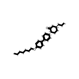 CCCCCCCOc1ccc(-c2ccc([C@H]3CC[C@H](CCC)CC3=O)cc2)cc1